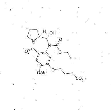 C=CCOC(=O)N1c2cc(OCCCC(=O)O)c(OC)cc2C(=O)N2CCC[C@H]2[C@@H]1O